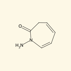 NN1C=CC=CCC1=O